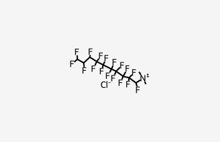 C[N+](C)(C)C(F)C(F)(F)C(F)(F)C(F)(F)C(F)(F)C(F)(F)C(F)(F)C(F)C(F)C(F)F.[Cl-]